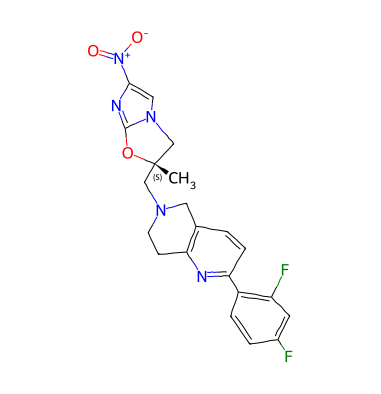 C[C@]1(CN2CCc3nc(-c4ccc(F)cc4F)ccc3C2)Cn2cc([N+](=O)[O-])nc2O1